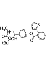 CN(CC(O)c1ccc(OC(=O)c2ccccc2-c2cccs2)cc1)C(=O)OC(C)(C)C